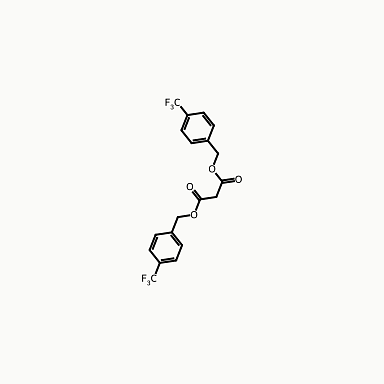 O=C(CC(=O)OCc1ccc(C(F)(F)F)cc1)OCc1ccc(C(F)(F)F)cc1